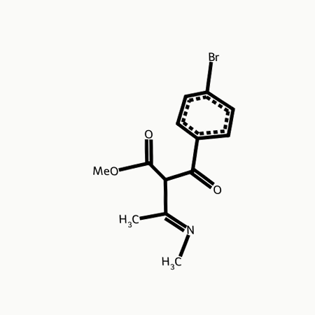 CN=C(C)C(C(=O)OC)C(=O)c1ccc(Br)cc1